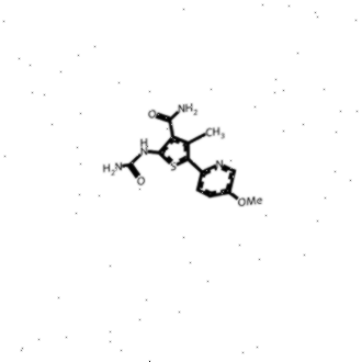 COc1ccc(-c2sc(NC(N)=O)c(C(N)=O)c2C)nc1